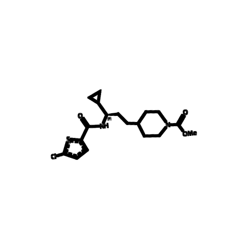 COC(=O)N1CCC(CC[C@@H](NC(=O)c2ccc(Cl)s2)C2CC2)CC1